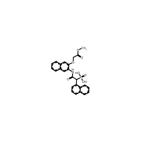 COC(=O)COc1cc2ccccc2cc1NC(=O)C(c1cccc2ccccc12)P(=O)(O)O